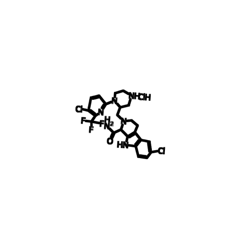 Cl.NC(=O)C1c2[nH]c3ccc(Cl)cc3c2CCN1CC1CNCCN1c1ccc(Cl)c(C(F)(F)F)n1